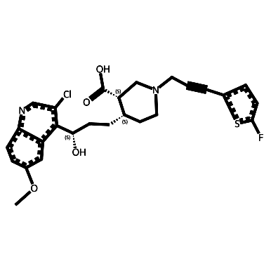 COc1ccc2ncc(Cl)c([C@@H](O)CC[C@H]3CCN(CC#Cc4ccc(F)s4)C[C@H]3C(=O)O)c2c1